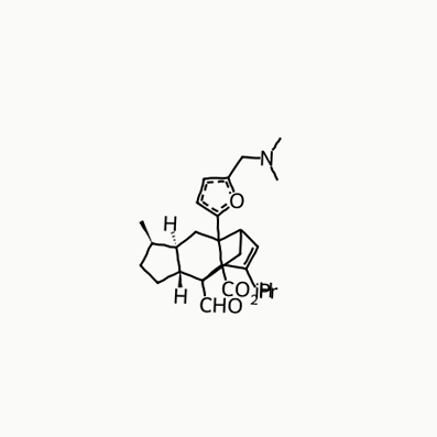 CC(C)C1=CC2CC3(C=O)[C@@H]4CC[C@@H](C)[C@H]4CC2(c2ccc(CN(C)C)o2)C13C(=O)O